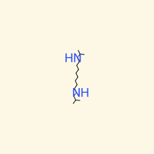 CC(C)CNCCCCCCCCNC(C)C